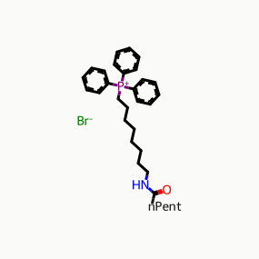 CCCCCC(=O)NCCCCCCCC[P+](c1ccccc1)(c1ccccc1)c1ccccc1.[Br-]